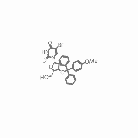 COc1ccc(C(OC2C[C@@H](n3cc(Br)c(=O)[nH]c3=O)O[C@H]2CO)(c2ccccc2)c2ccccc2)cc1